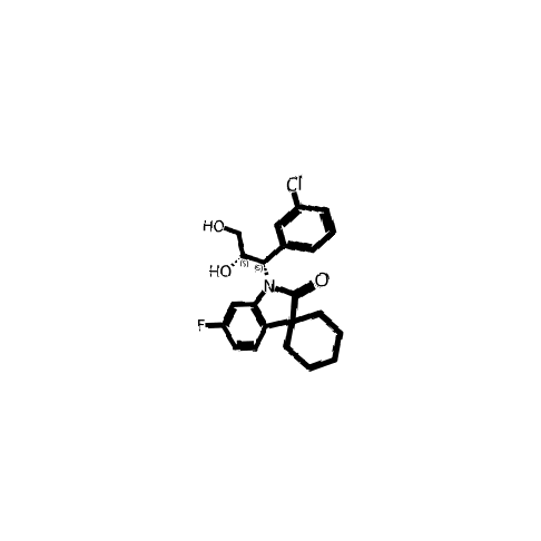 O=C1N([C@@H](c2cccc(Cl)c2)[C@H](O)CO)c2cc(F)ccc2C12CCCCC2